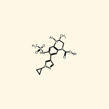 CC(=O)N1c2cc(NS(C)(=O)=O)c(-c3cnn(C4CC4)c3)cc2N(C(=O)OC(C)C)C[C@@H]1C